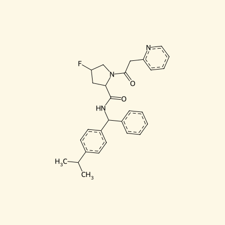 CC(C)c1ccc(C(NC(=O)C2CC(F)CN2C(=O)Cc2ccccn2)c2ccccc2)cc1